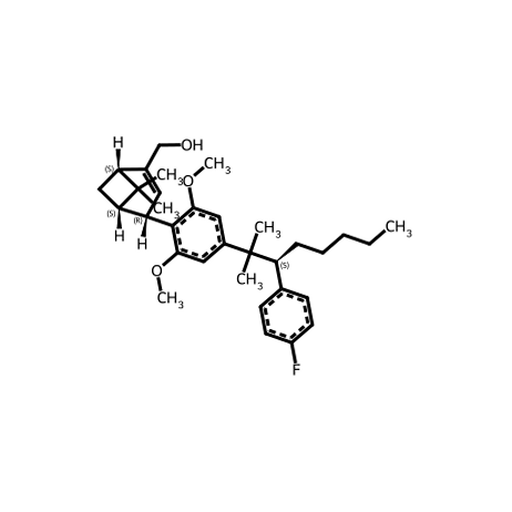 CCCCC[C@@H](c1ccc(F)cc1)C(C)(C)c1cc(OC)c([C@H]2C=C(CO)[C@H]3C[C@@H]2C3(C)C)c(OC)c1